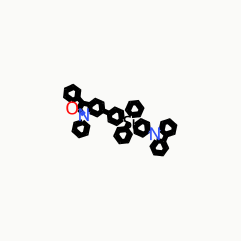 c1ccc(-n2c3cc(-c4ccc([Si](c5ccccc5)(c5ccccc5)c5ccc(-n6c7ccccc7c7ccccc76)cc5)cc4)ccc3c3c4ccccc4oc32)cc1